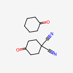 N#CC1(C#N)CCC(=O)CC1.O=C1CCCCC1